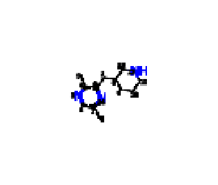 Cc1cnc(C)c(CC2CCCNC2)n1